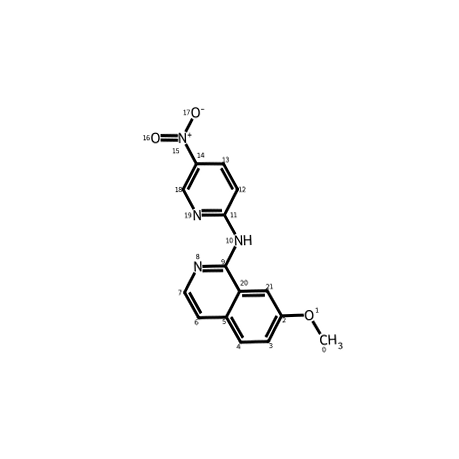 COc1ccc2ccnc(Nc3ccc([N+](=O)[O-])cn3)c2c1